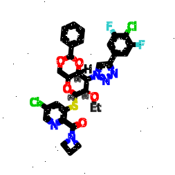 CCO[C@H]1C(n2cc(-c3cc(F)c(Cl)c(F)c3)nn2)[C@H]2OC(c3ccccc3)OCC2O[C@@H]1Sc1cc(Cl)cnc1C(=O)N1CCC1